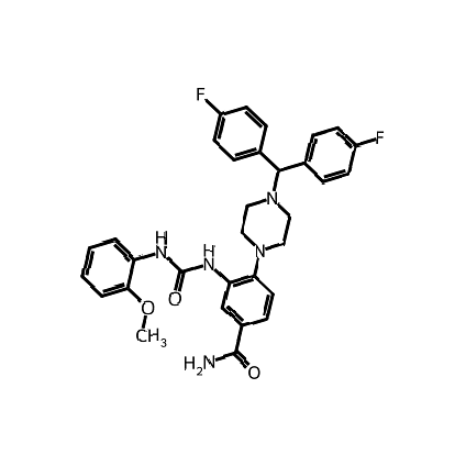 COc1ccccc1NC(=O)Nc1cc(C(N)=O)ccc1N1CCN(C(c2ccc(F)cc2)c2ccc(F)cc2)CC1